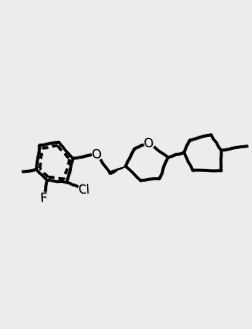 Cc1ccc(OC[C@@H]2CCC(C3CCC(C)CC3)OC2)c(Cl)c1F